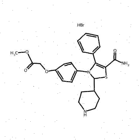 Br.COC(=O)COc1ccc(N2C(c3ccccc3)=C(C(N)=O)SC2C2CCNCC2)cc1